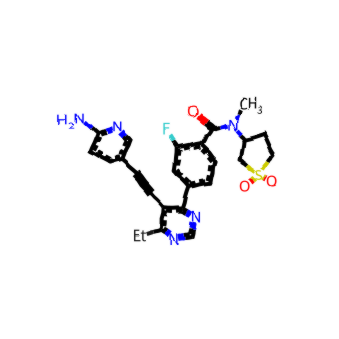 CCc1ncnc(-c2ccc(C(=O)N(C)C3CCS(=O)(=O)C3)c(F)c2)c1C#Cc1ccc(N)nc1